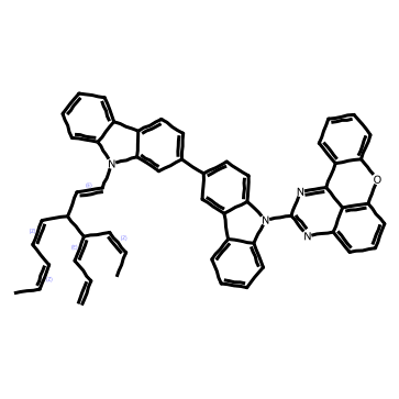 C=C/C=C(\C=C/C)C(/C=C\C=C/C)/C=C/n1c2ccccc2c2ccc(-c3ccc4c(c3)c3ccccc3n4-c3nc4c5c(cccc5n3)Oc3ccccc3-4)cc21